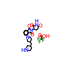 O=C(O)C(F)(F)F.O=C1CCC(N2C(=O)c3cccc(N4CCC(CC5CCNCC5)CC4)c3C2=O)C(=O)N1